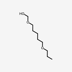 CCCOCCCCCOCO